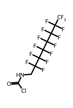 O=C(Cl)NCC(F)(F)C(F)(F)C(F)(F)C(F)(F)C(F)(F)C(F)(F)C(F)(F)F